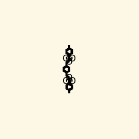 Cc1ccc(S(=O)(=O)OCc2ccc(COS(=O)(=O)c3ccc(C)cc3)cc2)cc1